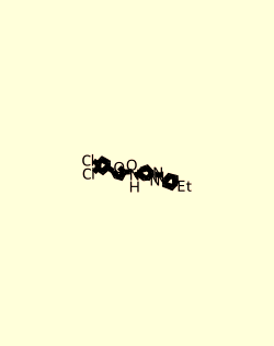 CCc1ccc(-n2nc3ccc(NC(=O)c4ccc(-c5ccc(Cl)c(Cl)c5)o4)cc3n2)cc1